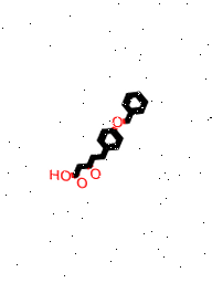 O=C(O)CC(=O)CCc1ccc(OCc2ccccc2)cc1